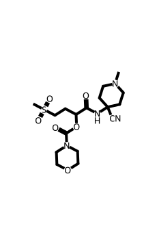 CN1CCC(C#N)(NC(=O)C(CCS(C)(=O)=O)OC(=O)N2CCOCC2)CC1